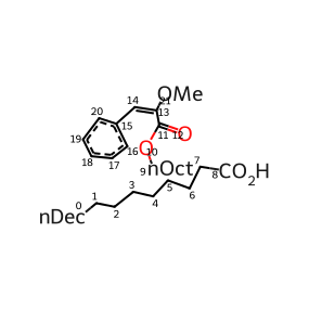 CCCCCCCCCCCCCCCCCC(=O)O.CCCCCCCCOC(=O)C(=Cc1ccccc1)OC